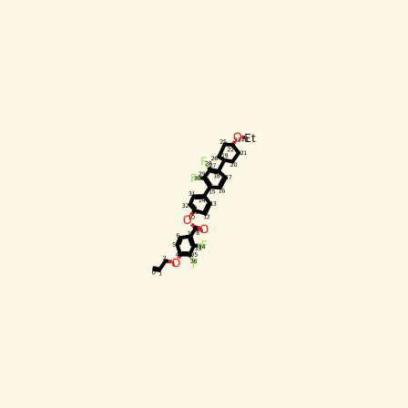 C=CCOc1ccc(C(=O)Oc2ccc(-c3ccc(C4CCC(OCC)CC4)c(F)c3F)cc2)c(F)c1F